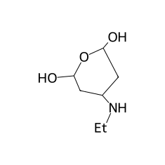 CCNC1CC(O)OC(O)C1